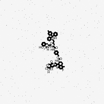 CC[C@@]1(O)C(=O)OCc2c1cc1n(c2=O)Cc2c-1nc1cc(F)c(C)c3c1c2[C@@H](NC(=O)OCc1ccc(NC(=O)[C@H](CCCCNC(c2ccccc2)(c2ccccc2)c2ccc(C)cc2)NC(=O)[C@H](Cc2ccccc2)NC(=O)O)cc1)CC3